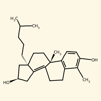 Cc1c(O)ccc2c1CCC1=C3C[C@@H](O)C[C@@]3(CCCC(C)C)CC[C@@]12C